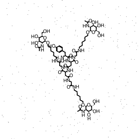 CC(=O)N[C@H]1[C@H](OCCCCCCNC(=O)CNC(=O)CC(NC(=O)CC(NC(=O)C(N)Cc2ccc(O)cc2)C(=O)NCC(=O)NCCCCCCO[C@@H]2O[C@H](CO)[C@H](O)[C@H](O)[C@H]2NC(C)=O)C(=O)NCC(=O)NCCCCCCO[C@@H]2O[C@H](CO)[C@H](O)[C@H](O)[C@H]2NC(C)=O)O[C@H](CO)[C@H](O)[C@@H]1O